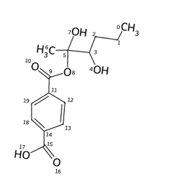 CCCC(O)C(C)(O)OC(=O)c1ccc(C(=O)O)cc1